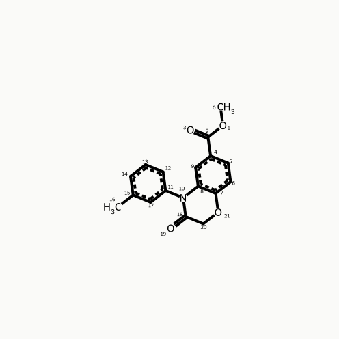 COC(=O)c1ccc2c(c1)N(c1cccc(C)c1)C(=O)CO2